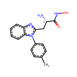 Cc1ccc(-n2c(C[C@H](N)C(=O)NO)nc3ccccc32)cc1